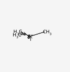 CCCCCCCCCCCCCCCCCC[n+]1ccc(/C=C/c2ccc(N(CCCC)CCCC)cc2)c2ccccc21.[I-]